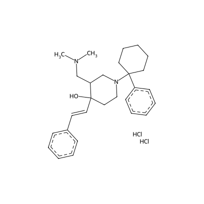 CN(C)CC1CN(C2(c3ccccc3)CCCCC2)CCC1(O)C=Cc1ccccc1.Cl.Cl